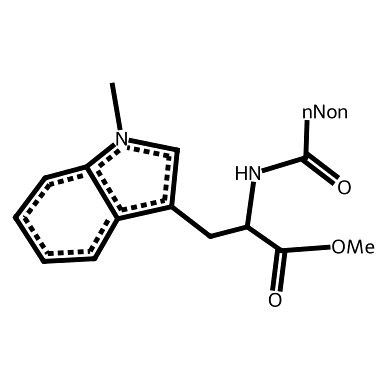 CCCCCCCCCC(=O)NC(Cc1cn(C)c2ccccc12)C(=O)OC